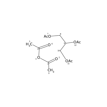 CC(=O)OC(C)=O.CC(=O)OCC(COC(C)=O)OC(C)=O